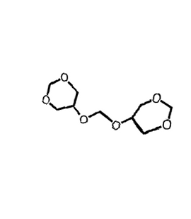 C1OCC(OCOC2COCOC2)CO1